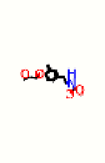 COC(=O)NCCc1ccc(OCC2CO2)c(C)c1